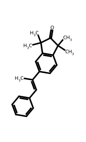 CC(=Cc1ccccc1)c1ccc2c(c1)C(C)(C)C(=O)C2(C)C